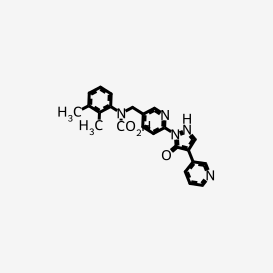 Cc1cccc(N(Cc2ccc(-n3[nH]cc(-c4cccnc4)c3=O)nc2)C(=O)O)c1C